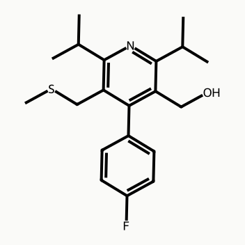 CSCc1c(C(C)C)nc(C(C)C)c(CO)c1-c1ccc(F)cc1